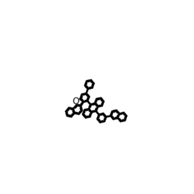 c1ccc(-c2cc(-c3c4ccccc4c(-c4cccc(-c5ccc6ccccc6c5)c4)c4ccccc34)c3c(c2)oc2c4ccccc4ccc23)cc1